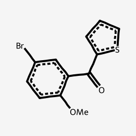 COc1ccc(Br)cc1C(=O)c1cccs1